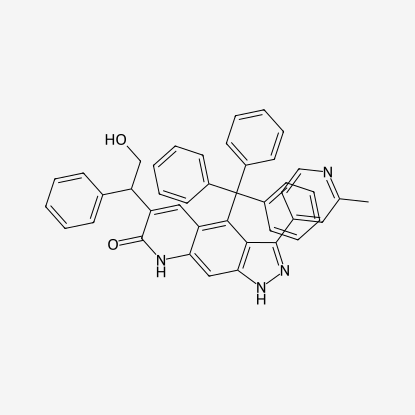 Cc1cc(-c2n[nH]c3cc4[nH]c(=O)c(C(CO)c5ccccc5)cc4c(C(c4ccccc4)(c4ccccc4)c4ccccc4)c23)ccn1